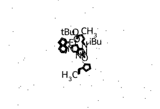 C/C=C/C1CCC[C@H]1COc1nc2c(c(N(CCC(C)C(=O)OC(C)(C)C)C[C@@H](C)CC)n1)CCN(c1cccc3cccc(CC)c13)C2